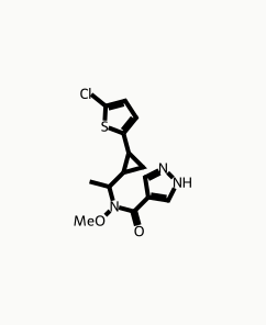 CON(C(=O)c1cn[nH]c1)C(C)C1CC1c1ccc(Cl)s1